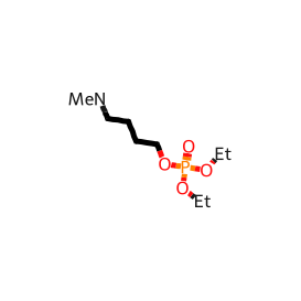 CCOP(=O)(OCC)OCCCCNC